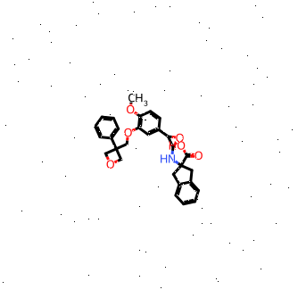 COc1ccc(C2OC2NC2(C(=O)O)Cc3ccccc3C2)cc1OCC1(c2ccccc2)COC1